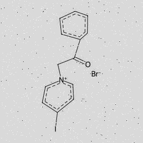 O=C(C[n+]1ccc(I)cc1)c1ccccc1.[Br-]